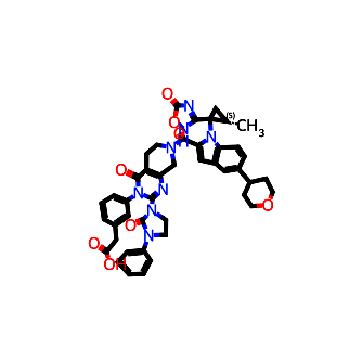 C[C@H]1CC1(c1nc(=O)o[nH]1)n1c(C(=O)N2CCc3c(nc(N4CCN(c5ccccc5)C4=O)n(-c4cccc(CC(=O)O)c4)c3=O)C2)cc2cc(C3CCOCC3)ccc21